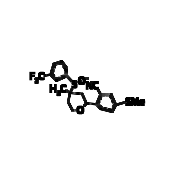 CSc1ccc(C2CC(C)([S+]([O-])c3cccc(C(F)(F)F)c3)CCO2)c(C#N)c1